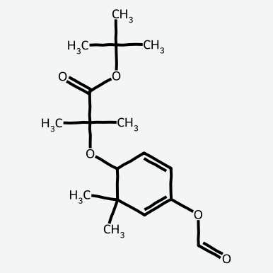 CC(C)(C)OC(=O)C(C)(C)OC1C=CC(OC=O)=CC1(C)C